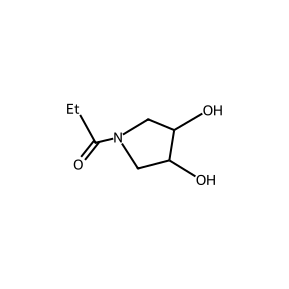 CCC(=O)N1CC(O)C(O)C1